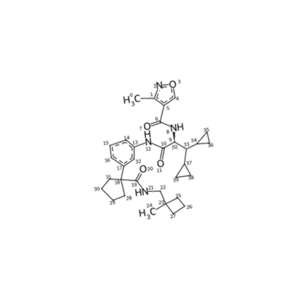 Cc1nocc1C(=O)N[C@H](C(=O)Nc1cccc(C2(C(=O)NCC3(C)CCC3)CCCC2)c1)C(C1CC1)C1CC1